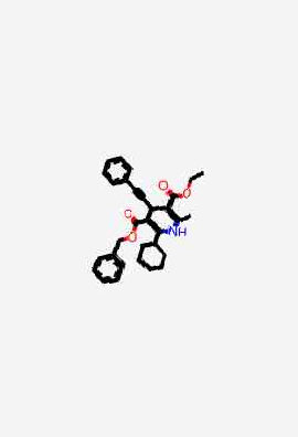 CCOC(=O)C1=C(C)NC(C2CCCCC2)=C(C(=O)OCc2ccccc2)C1C#Cc1ccccc1